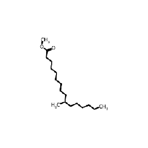 CCCCCCC(C)CCCCCCCCC(=O)OC